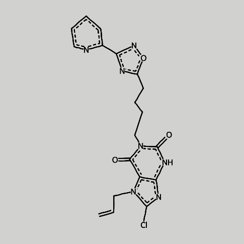 C=CCn1c(Cl)nc2[nH]c(=O)n(CCCCc3nc(-c4ccccn4)no3)c(=O)c21